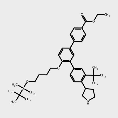 CCOC(=O)c1ccc(-c2ccc(OCCCCO[Si](C)(C)C(C)(C)C)c(-c3ccc(C4CCNC4)c(C(C)(C)C)c3)c2)cc1